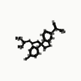 CN(C)CCC[C@]1(c2ccc(F)cc2)OCc2cc(C(N)=O)ccc21